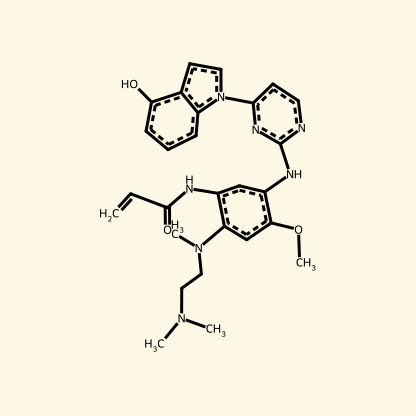 C=CC(=O)Nc1cc(Nc2nccc(-n3ccc4c(O)cccc43)n2)c(OC)cc1N(C)CCN(C)C